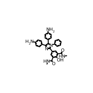 CNC(=O)c1cc(-c2nc(-c3ccc(N)cc3)c(-c3ccc(N)cc3)n2-c2ccccc2)cc(C(=O)NC)c1O